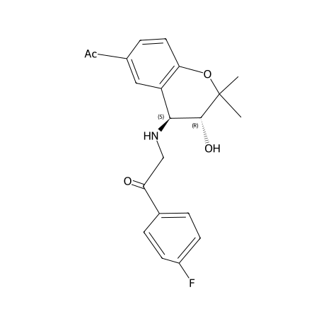 CC(=O)c1ccc2c(c1)[C@H](NCC(=O)c1ccc(F)cc1)[C@@H](O)C(C)(C)O2